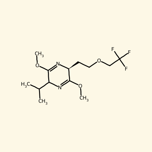 COC1=N[C@@H](CCOCC(F)(F)F)C(OC)=NC1C(C)C